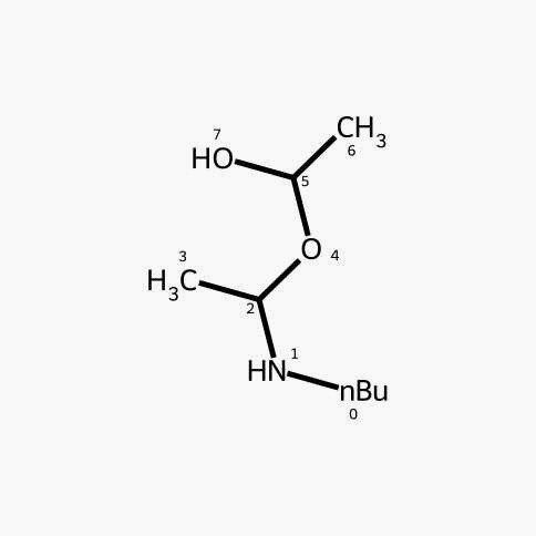 CCCCNC(C)OC(C)O